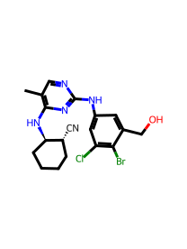 Cc1cnc(Nc2cc(Cl)c(Br)c(CO)c2)nc1N[C@@H]1CCCC[C@H]1C#N